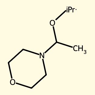 C[C](C)OC(C)N1CCOCC1